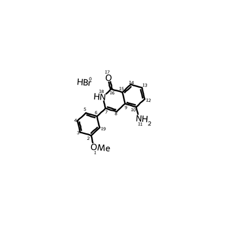 Br.COc1cccc(-c2cc3c(N)cccc3c(=O)[nH]2)c1